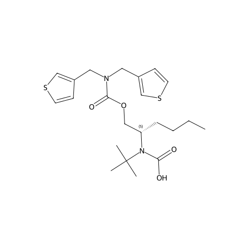 CCCC[C@@H](COC(=O)N(Cc1ccsc1)Cc1ccsc1)N(C(=O)O)C(C)(C)C